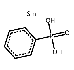 O=P(O)(O)c1ccccc1.[Sm]